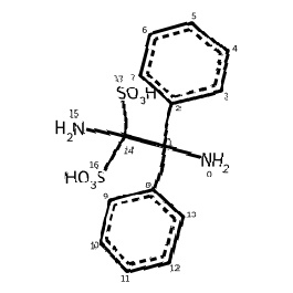 NC(c1ccccc1)(c1ccccc1)C(N)(S(=O)(=O)O)S(=O)(=O)O